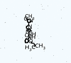 COc1cncc(-c2ccc3nc(NC(=O)Nc4ccccc4OCCC(C)C)sc3n2)c1